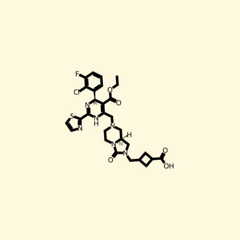 CCOC(=O)C1=C(CN2CCN3C(=O)N(CC4CC(C(=O)O)C4)C[C@@H]3C2)NC(c2nccs2)=N[C@H]1c1cccc(F)c1Cl